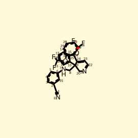 N#Cc1cccc(NCC2(c3ccccc3OC(F)F)CN=CC=C2c2ccccc2OC(F)F)c1